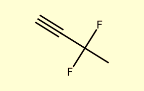 C#CC(C)(F)F